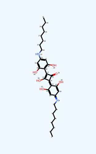 CCCCCCCCN=C1C=C(O)C(=C2C(=O)C(c3c(O)cc(NCCCCCCCC)cc3O)=C2O)C(O)=C1